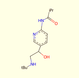 CC(C)C(=O)Nc1ccc(C(O)CNC(C)(C)C)cn1